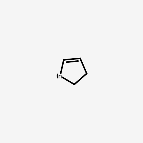 C1=[CH][In][CH2]C1